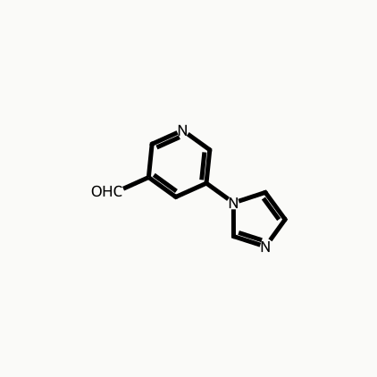 O=Cc1cncc(-n2ccnc2)c1